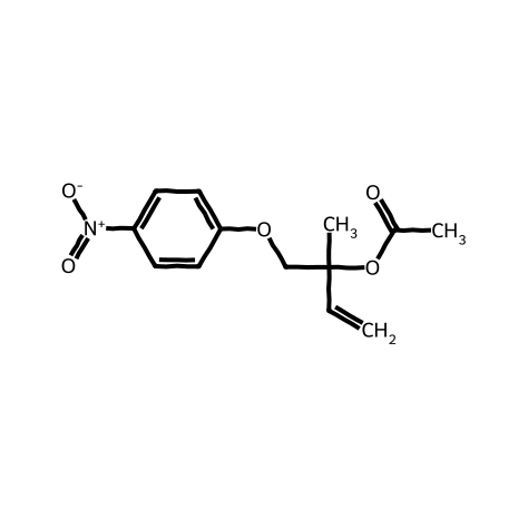 C=CC(C)(COc1ccc([N+](=O)[O-])cc1)OC(C)=O